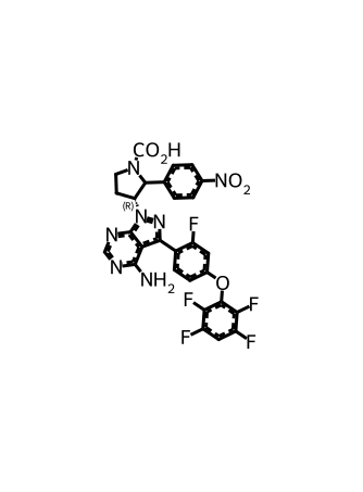 Nc1ncnc2c1c(-c1ccc(Oc3c(F)c(F)cc(F)c3F)cc1F)nn2[C@@H]1CCN(C(=O)O)C1c1ccc([N+](=O)[O-])cc1